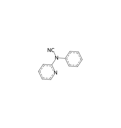 N#CN(c1ccccc1)c1ccccn1